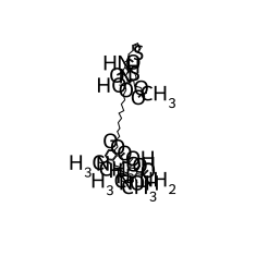 CC(=O)OCC1=C(C(O)OCCCCCCCCCCC(=O)Oc2ccc(N(C)C)c3c2C(=O)C2=C(O)[C@]4(O)C(=O)C(C(N)=O)=C(O)[C@@H](N(C)C)[C@@H]4C[C@@H]2C3)N2C(=O)[C@@H](NC(=O)Cc3cccs3)[C@H]2SC1